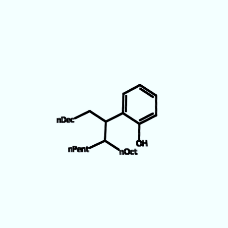 CCCCCCCCCCCC(c1ccccc1O)C(CCCCC)CCCCCCCC